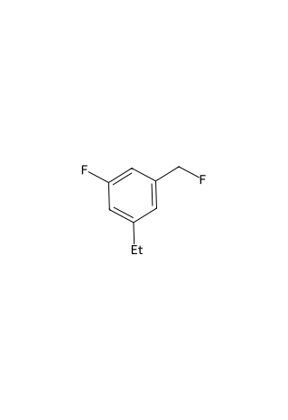 CCc1cc(F)cc(CF)c1